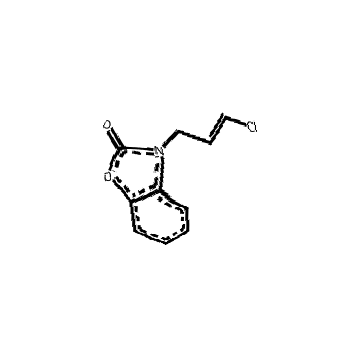 O=c1oc2ccccc2n1CC=CCl